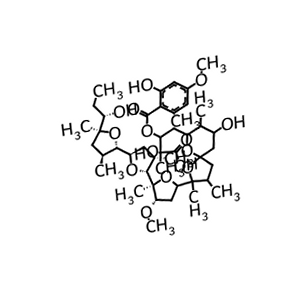 CC[C@H](O)[C@]1(C)C[C@H](C)[C@@H]([C@H]2C[C@H](C)[C@H]([C@@]3(C)OC(C4(C)OC5(CC(O)C(C)C(CC(OC(=O)c6c(C)cc(OC)cc6O)C(C)(O)C(=O)O)O5)CC4C)C[C@@H]3OC)O2)O1